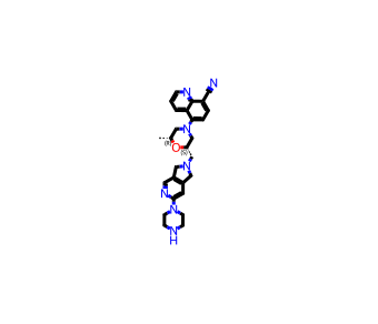 C[C@@H]1CN(c2ccc(C#N)c3ncccc23)C[C@H](CN2Cc3cnc(N4CCNCC4)cc3C2)O1